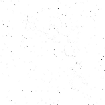 CC(C)(C)COc1ccc(C(=O)N2CCN(C(=O)Nc3cccnc3)CC2)cc1